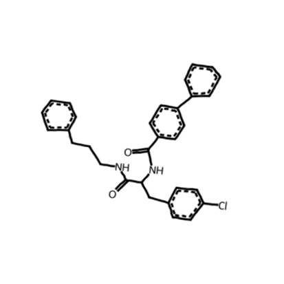 O=C(NC(Cc1ccc(Cl)cc1)C(=O)NCCCc1ccccc1)c1ccc(-c2ccccc2)cc1